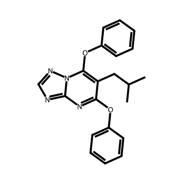 CC(C)Cc1c(Oc2ccccc2)nc2ncnn2c1Oc1ccccc1